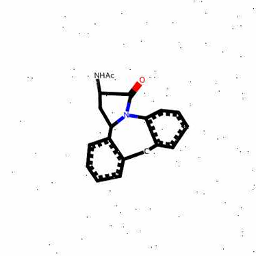 CC(=O)NC1CC2c3ccccc3Cc3ccccc3N2C1=O